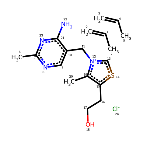 C=CC.C=CC.Cc1ncc(C[n+]2csc(CCO)c2C)c(N)n1.[Cl-]